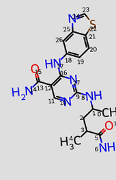 CC(CC(C)C(N)=O)Nc1ncc(C(N)=O)c(Nc2ccc3scnc3c2)n1